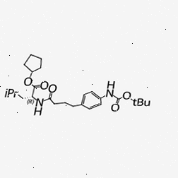 CC(C)C[C@@H](NC(=O)CCCc1ccc(NC(=O)OC(C)(C)C)cc1)C(=O)OC1CCCC1